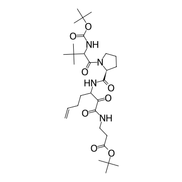 C=CCCC(NC(=O)[C@@H]1CCCN1C(=O)C(NC(=O)OC(C)(C)C)C(C)(C)C)C(=O)C(=O)NCCC(=O)OC(C)(C)C